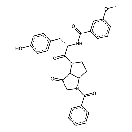 COc1cccc(C(=O)N[C@@H](Cc2ccc(O)cc2)C(=O)N2CCC3C2C(=O)CN3C(=O)c2ccccc2)c1